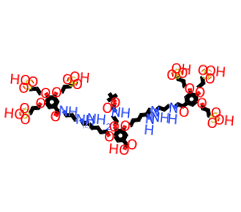 CC(C)(C)OC(=O)NCCOc1c(OCCCCC2=CN(CCCNCC(=O)c3cc(OCCCS(=O)(=O)O)c(OCCCS(=O)(=O)O)c(OCCCS(=O)(=O)O)c3)NN2)cc(C(=O)O)cc1OCCCC/C(N)=C/NCCCNC(=O)c1cc(OCCCS(=O)(=O)O)c(OCCCS(=O)(=O)O)c(OCCCS(=O)(=O)O)c1